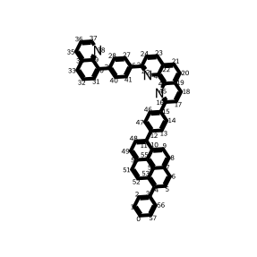 c1ccc(-c2ccc3ccc4c(-c5ccc(-c6ccc7ccc8ccc(-c9ccc(-c%10cccc%11cccnc%10%11)cc9)nc8c7n6)cc5)ccc5ccc2c3c54)cc1